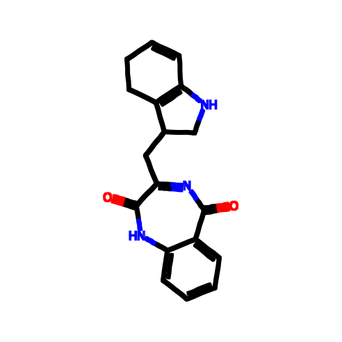 O=c1[nH]c2ccccc2c(=O)nc1CC1CNC2=C1CCC=C2